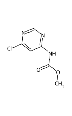 COC(=O)Nc1cc(Cl)ncn1